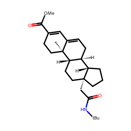 COC(=O)C1=CC2=CC[C@H]3[C@@H]4CCC[C@@]4(CC(=O)NC(C)(C)C)CC[C@@H]3[C@@]2(C)CC1